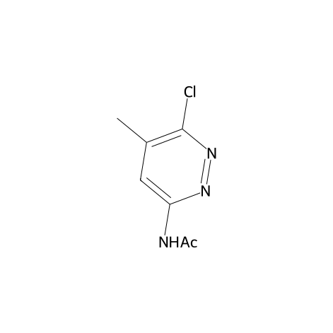 CC(=O)Nc1cc(C)c(Cl)nn1